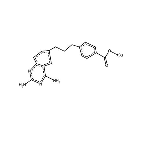 CC(C)(C)OC(=O)c1ccc(CCCc2ccc3nc(N)nc(N)c3c2)cc1